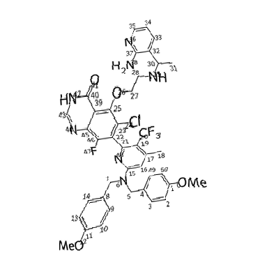 COc1ccc(CN(Cc2ccc(OC)cc2)c2cc(C)c(C(F)(F)F)c(-c3c(Cl)c(OCCNC(C)c4cccnc4N)c4c(=O)[nH]cnc4c3F)n2)cc1